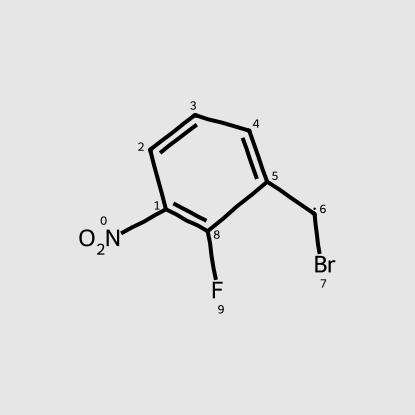 O=[N+]([O-])c1cccc([CH]Br)c1F